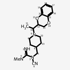 CNC(=N)N(C#N)CC1CCN(C(C)C2COc3ccccc3O2)CC1